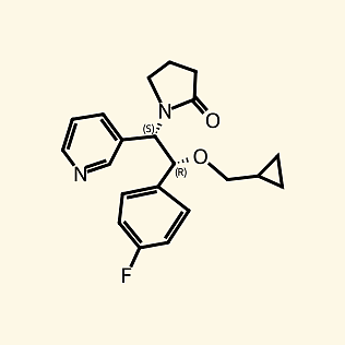 O=C1CCCN1[C@@H](c1cccnc1)[C@H](OCC1CC1)c1ccc(F)cc1